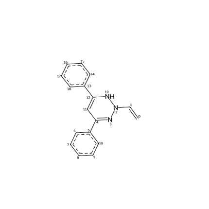 C=CN1N=C(c2ccccc2)C=C(c2ccccc2)N1